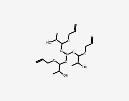 C=CCOC(OP(OC(OCC=C)C(C)O)OC(OCC=C)C(C)O)C(C)O